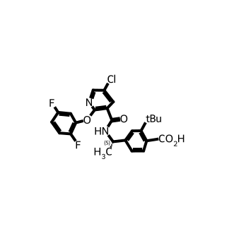 C[C@H](NC(=O)c1cc(Cl)cnc1Oc1cc(F)ccc1F)c1ccc(C(=O)O)c(C(C)(C)C)c1